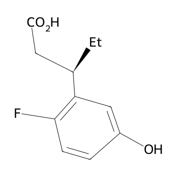 CC[C@H](CC(=O)O)c1cc(O)ccc1F